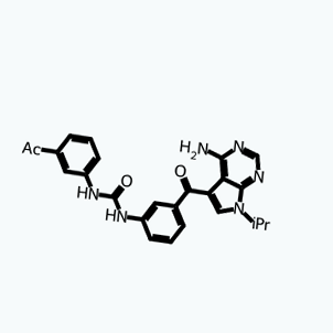 CC(=O)c1cccc(NC(=O)Nc2cccc(C(=O)c3cn(C(C)C)c4ncnc(N)c34)c2)c1